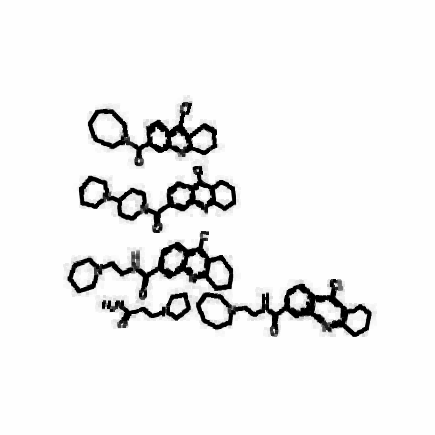 NC(=O)CCN1CCCC1.O=C(NCCN1CCCCC1)c1ccc2c(Cl)c3c(nc2c1)CCCC3.O=C(NCCN1CCCCCC1)c1ccc2c(Cl)c3c(nc2c1)CCCC3.O=C(c1ccc2c(Cl)c3c(nc2c1)CCCC3)N1CCC(N2CCCCC2)CC1.O=C(c1ccc2c(Cl)c3c(nc2c1)CCCC3)N1CCCCCC1